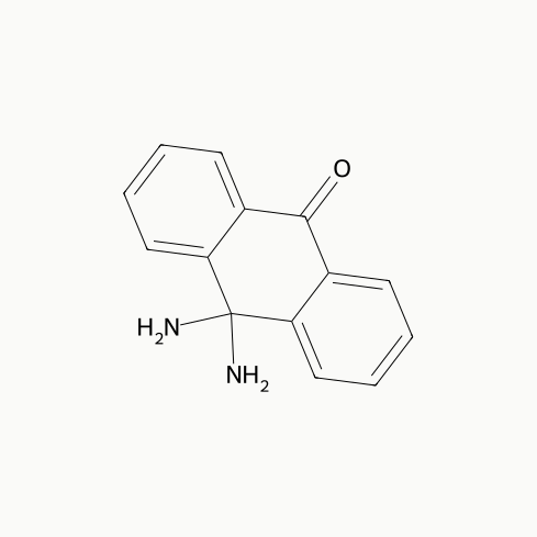 NC1(N)c2ccccc2C(=O)c2ccccc21